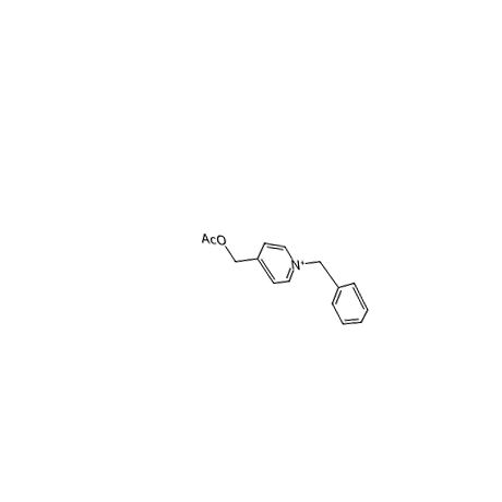 CC(=O)OCc1cc[n+](Cc2ccccc2)cc1